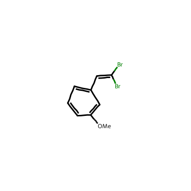 COc1cccc(C=C(Br)Br)c1